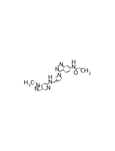 C=CC(=O)Nc1ccc2c(N3CC[C@@H](CNc4cc5c(cn4)cnn5CC)C3)ncnc2c1